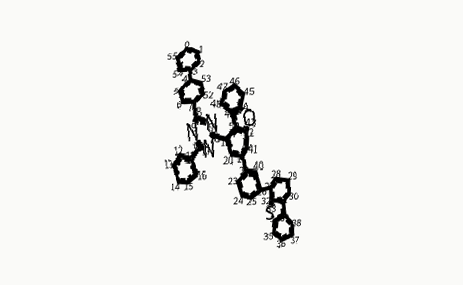 c1ccc(-c2ccc(-c3nc(-c4ccccc4)nc(-c4cc(-c5cccc(-c6cccc7c6sc6ccccc67)c5)cc5oc6ccccc6c45)n3)cc2)cc1